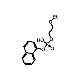 CCOCCOP(=O)(O)Oc1cccc2ccccc12